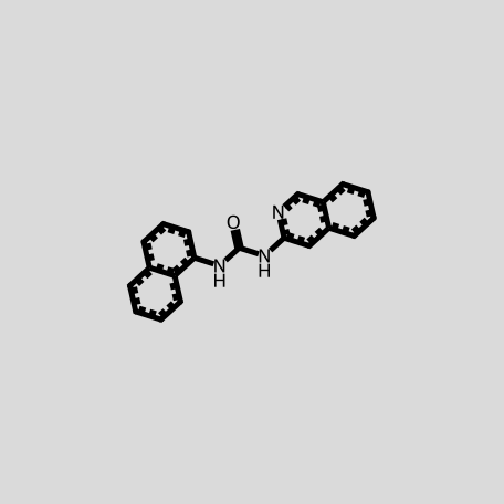 O=C(Nc1cc2ccccc2cn1)Nc1cccc2ccccc12